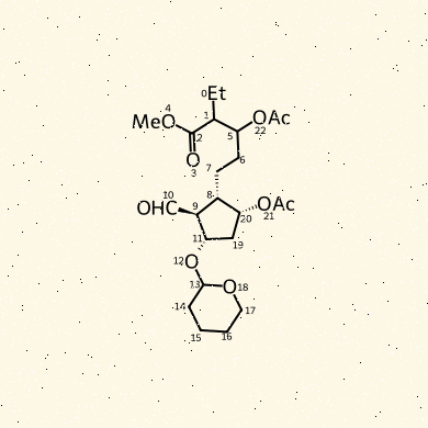 CCC(C(=O)OC)C(CC[C@H]1[C@H](C=O)[C@@H](OC2CCCCO2)C[C@H]1OC(C)=O)OC(C)=O